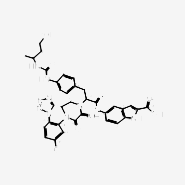 CC(CCO)NC(=O)Nc1ccc(CC(C(=O)Nc2ccc3[nH]c(C(=O)O)cc3c2)N2CCN(c3cc(Cl)ccc3-n3cnnn3)C(=O)C2=O)cc1